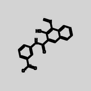 C=Nc1c(O)c(C(=O)Nc2cccc([N+](=O)[O-])c2)cc2ccccc12